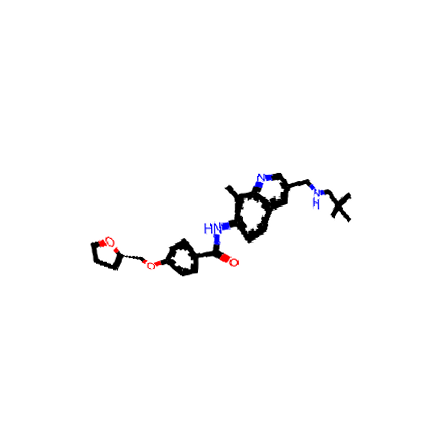 Cc1c(NC(=O)c2ccc(OC[C@H]3CCCO3)cc2)ccc2cc(CNCC(C)(C)C)cnc12